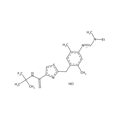 CCN(C)/C=N/c1cc(C)c(Cc2nc(C(=O)NC(C)(C)C(F)(F)F)cs2)cc1C.Cl